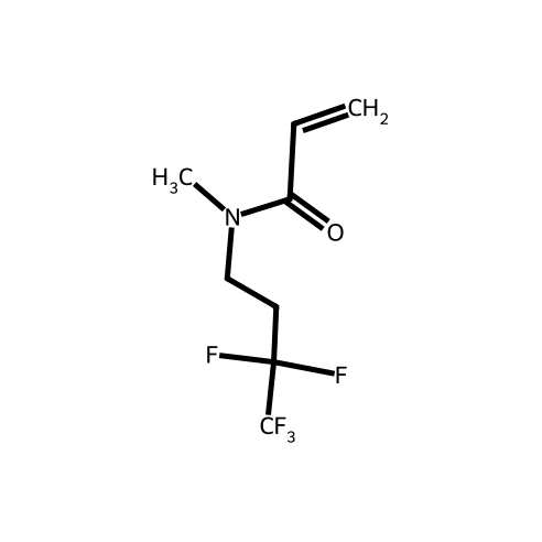 C=CC(=O)N(C)CCC(F)(F)C(F)(F)F